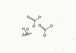 O.O=C([O-])[O-].O=C([O-])[O-].[Zn+2].[Zn+2]